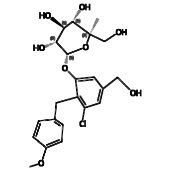 COc1ccc(Cc2c(Cl)cc(CO)cc2O[C@H]2O[C@](C)(CO)[C@@H](O)[C@H](O)[C@H]2O)cc1